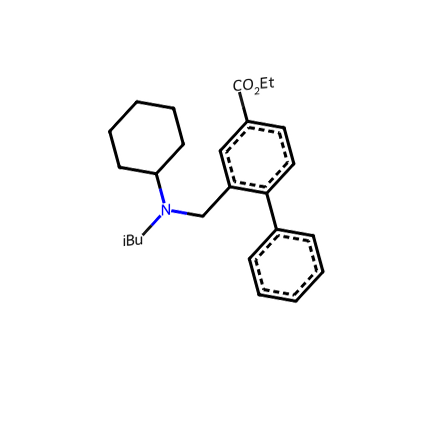 CCOC(=O)c1ccc(-c2ccccc2)c(CN(C(C)CC)C2CCCCC2)c1